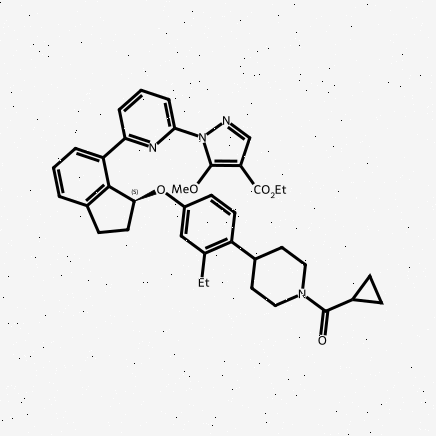 CCOC(=O)c1cnn(-c2cccc(-c3cccc4c3[C@@H](Oc3ccc(C5CCN(C(=O)C6CC6)CC5)c(CC)c3)CC4)n2)c1OC